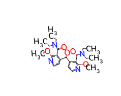 CCN(CC)C(=O)c1c(C(=O)c2ccnc(OC)c2C(=O)N(CC)CC)ccnc1OC